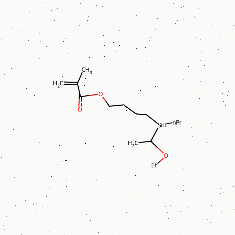 C=C(C)C(=O)OCCCC[SiH](CCC)C(C)OCC